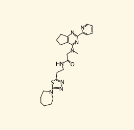 CN(CC(=O)NCCc1nnc(N2CCCCCC2)s1)c1nc(-c2ccccn2)nc2c1CCC2